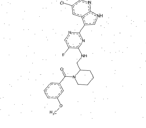 COc1cccc(C(=O)N2CCCCC2CNc2nc(-c3c[nH]c4ncc(Cl)cc34)ncc2F)c1